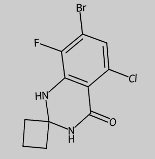 O=C1NC2(CCC2)Nc2c(F)c(Br)cc(Cl)c21